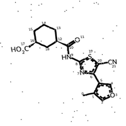 Cc1cocc1-c1nc(NC(=O)[C@@H]2CCC[C@H](C(=O)O)C2)sc1C#N